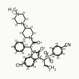 C=CC(n1c(=O)n(C(C(=O)N2CCC(N3CCN(C)CC3)CC2)c2ccccc2)c2cc(Cl)ccc21)S(=O)(=O)c1ccc(C#N)cc1